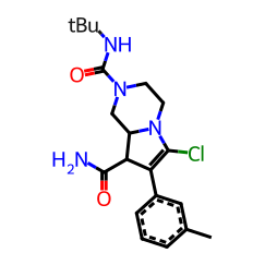 Cc1cccc(C2=C(Cl)N3CCN(C(=O)NC(C)(C)C)CC3C2C(N)=O)c1